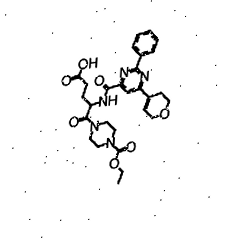 CCOC(=O)N1CCN(C(=O)C(CCC(=O)O)NC(=O)c2cc(C3=CCOCC3)nc(-c3ccccc3)n2)CC1